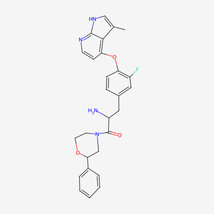 Cc1c[nH]c2nccc(Oc3ccc(CC(N)C(=O)N4CCOC(c5ccccc5)C4)cc3F)c12